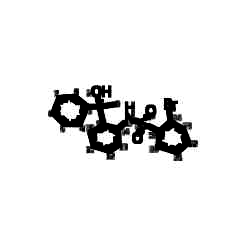 CC(O)(c1ccccc1)c1ccccc1NS(=O)(=O)c1ccccc1Br